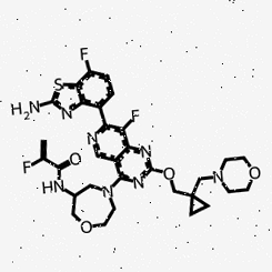 C=C(F)C(=O)NC1COCCN(c2nc(OCC3(CN4CCOCC4)CC3)nc3c(F)c(-c4ccc(F)c5sc(N)nc45)ncc23)C1